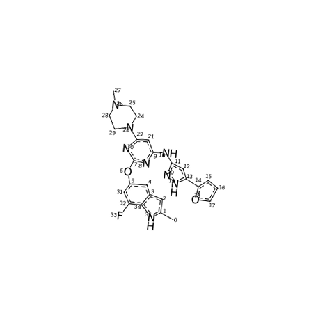 Cc1cc2cc(Oc3nc(Nc4cc(-c5ccco5)[nH]n4)cc(N4CCN(C)CC4)n3)cc(F)c2[nH]1